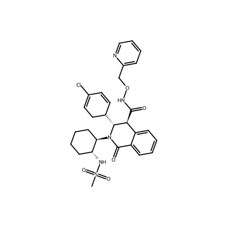 CS(=O)(=O)N[C@@H]1CCCC[C@H]1N1C(=O)c2ccccc2[C@H](C(=O)NOCc2ccccn2)[C@H]1C1C=CC(Cl)=CC1